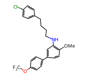 COc1ccc(-c2ccc(OC(F)(F)F)cc2)cc1NCCCCc1ccc(Cl)cc1